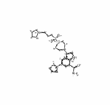 NC(=O)c1cc(-c2cccs2)cc2c(C3CCN(S(=O)(=O)CCCN4CCCC4)CC3)c[nH]c12